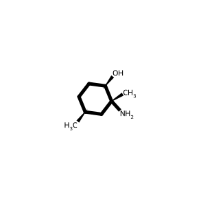 C[C@H]1CC[C@@H](O)[C@](C)(N)C1